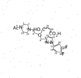 CC(=O)N1CCN(CCOCc2ccn(-c3ccc(F)c(F)c3)n2)CC1.O=C(O)/C=C\C(=O)O